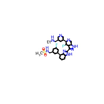 CCNCc1cncc(-c2ncc3[nH]nc(-c4nc5c(-c6cc(F)cc(CNS(C)(=O)=O)c6)cccc5[nH]4)c3c2F)c1